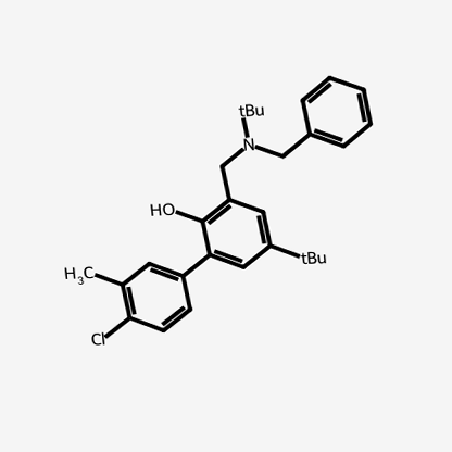 Cc1cc(-c2cc(C(C)(C)C)cc(CN(Cc3ccccc3)C(C)(C)C)c2O)ccc1Cl